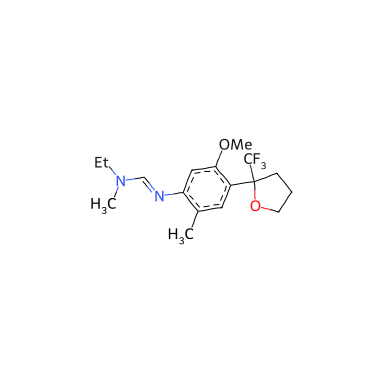 CCN(C)C=Nc1cc(OC)c(C2(C(F)(F)F)CCCO2)cc1C